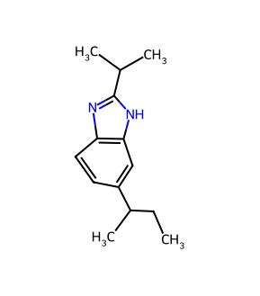 CCC(C)c1ccc2nc(C(C)C)[nH]c2c1